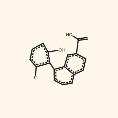 C=C(O)c1ccc2cccc(-c3c(O)cccc3Cl)c2c1